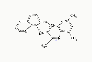 C/C(=N/c1c(C)cc(C)cc1Cl)c1ccc2ccc3cccnc3c2n1